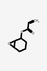 C=CC(=O)OC1CCCC2OC12